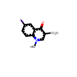 CCCCn1cc(C(=O)OCC)c(=O)c2cc(I)ccc21